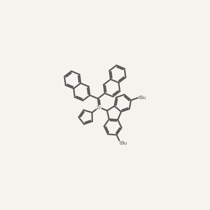 CC(C)(C)c1ccc2c(c1)-c1cc(C(C)(C)C)ccc1[CH]2[Zr](=[C](c1ccc2ccccc2c1)c1ccc2ccccc2c1)[CH]1C=CC=C1